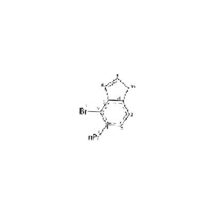 CCCc1ccc2c(c1Br)C=CC2